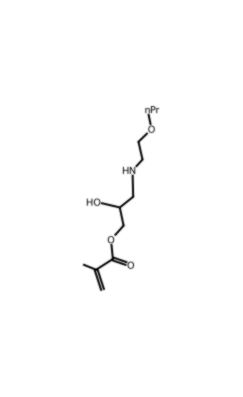 C=C(C)C(=O)OCC(O)CNCCOCCC